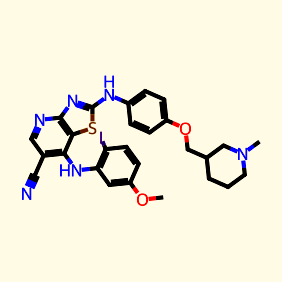 COc1ccc(I)c(Nc2c(C#N)cnc3nc(Nc4ccc(OCC5CCCN(C)C5)cc4)sc23)c1